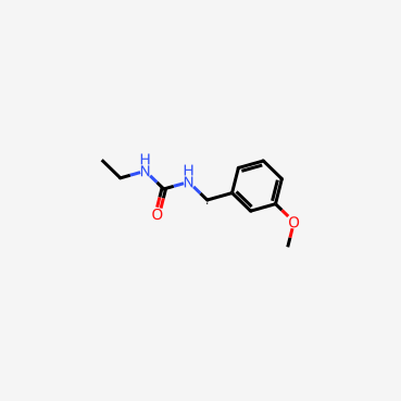 CCNC(=O)N[CH]c1cccc(OC)c1